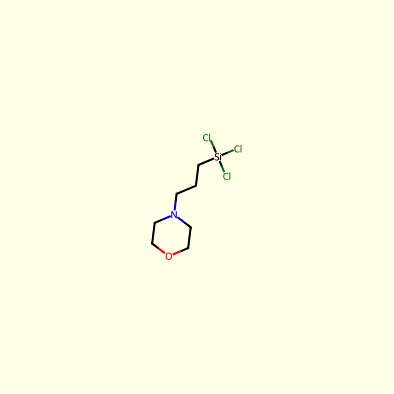 Cl[Si](Cl)(Cl)CCCN1CCOCC1